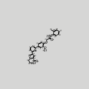 CCOc1cc(-c2nccc(-c3cc4n(n3)CCNC4=O)n2)ccc1OCC(=O)Nc1ccccc1C